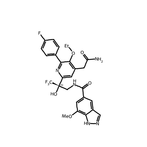 CCOc1c(CC(N)=O)cc([C@@](O)(CNC(=O)c2cc(OC)c3[nH]ncc3c2)C(F)(F)F)nc1-c1ccc(F)cc1